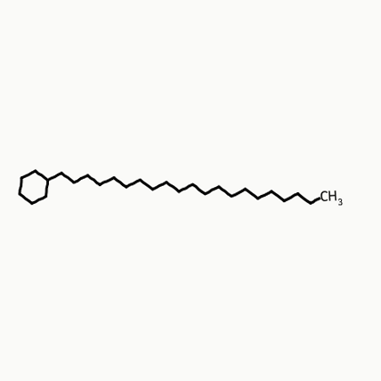 CCCCCCCCCCCCCCCCCCCCCC1CCCCC1